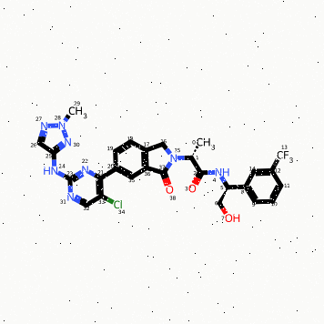 C[C@H](C(=O)N[C@H](CO)c1cccc(C(F)(F)F)c1)N1Cc2ccc(-c3nc(Nc4cnn(C)n4)ncc3Cl)cc2C1=O